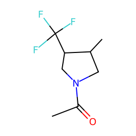 CC(=O)N1CC(C)C(C(F)(F)F)C1